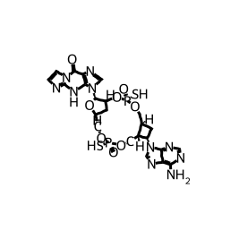 Nc1ncnc2c1ncn2[C@@H]1C[C@@H]2COP(=O)(S)O[C@@H]3C[C@@H](COP(=O)(S)OC[C@H]21)O[C@H]3n1cnc2c(=O)n3ccnc3[nH]c21